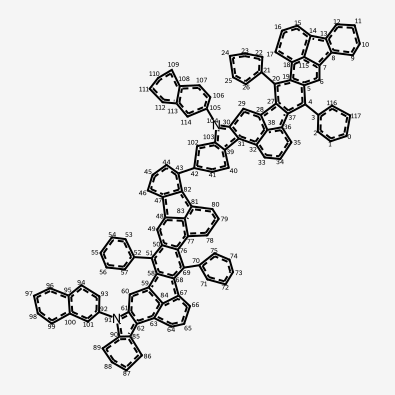 c1ccc(-c2c3cc4c5ccccc5c5cccc(c3c(-c3ccccc3)c3c6cc7c(c8cccc(c23)c68)c2ccc(-c3cccc6c8cc9c(-c%10ccccc%10)c%10c%11cc%12c(c%13cccc(c%10c(-c%10ccccc%10)c9c9cccc(c36)c89)c%11%13)c3ccccc3n%12-c3ccc6ccccc6c3)cc2n7-c2ccc3ccccc3c2)c54)cc1